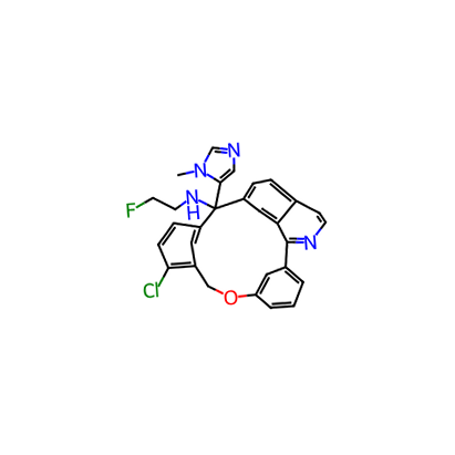 Cn1cncc1C1(NCCF)c2ccc(Cl)c(c2)COc2cccc(c2)-c2nccc3ccc1cc23